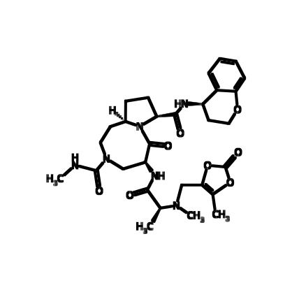 CNC(=O)N1CC[C@H]2CC[C@@H](C(=O)N[C@@H]3CCOc4ccccc43)N2C(=O)[C@@H](NC(=O)[C@H](C)N(C)Cc2oc(=O)oc2C)C1